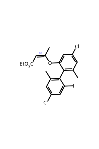 CCOC(=O)/C=C(/C)Oc1cc(Cl)cc(C)c1-c1c(C)cc(Cl)cc1I